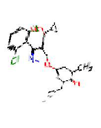 CCC1CC(OC/C(C(=N)c2c(Cl)cccc2Cl)=C(/O)C2CC2)CC(C)C1=O